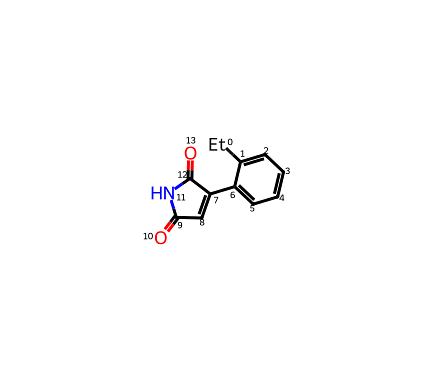 CCc1ccccc1C1=CC(=O)NC1=O